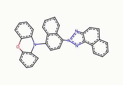 c1ccc2c(c1)Oc1ccccc1N2c1ccc(-n2nc3ccc4ccccc4c3n2)c2ccccc12